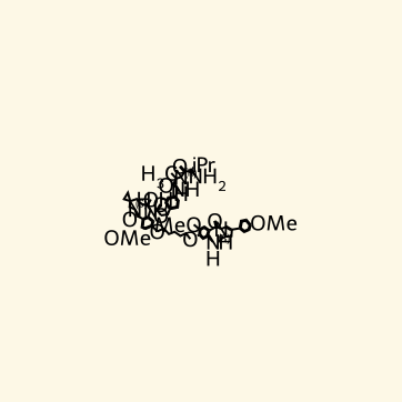 COc1ccc(C2=CN3C(=O)c4cc(OC)c(OCCCCCOc5cc6c(cc5OC)C(=O)N5CC7(CC7)C[C@H]5C(O)N6C(=O)OCc5ccc(NC(=O)C(C)NC(=O)[C@H](N)C(C)C)cc5)cc4NC[C@@H]3C2)cc1